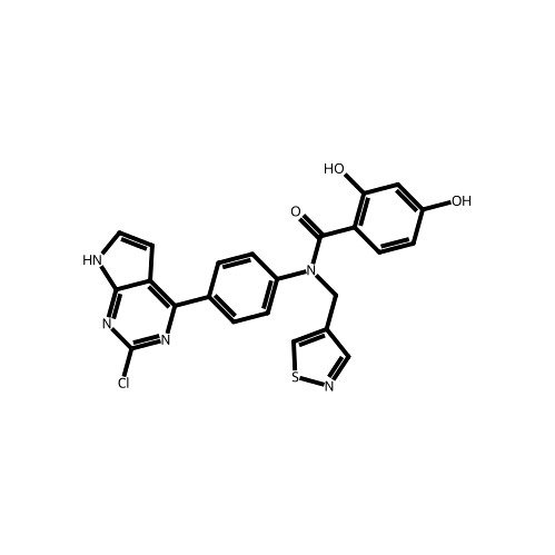 O=C(c1ccc(O)cc1O)N(Cc1cnsc1)c1ccc(-c2nc(Cl)nc3[nH]ccc23)cc1